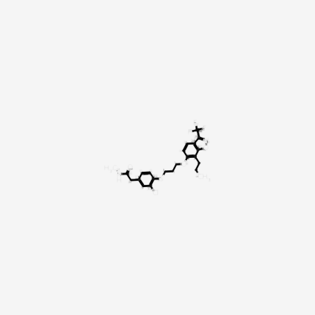 CCCc1c(OCCCSc2ccc(CC(=O)NC)cc2Cl)ccc2c(C(F)(F)F)noc12